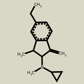 C=C1c2ccc(CC)cc2C(C)C1N(C)C1CC1